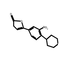 O=C1CC=C(c2ccc(C3CCCCC3)c([N+](=O)[O-])c2)O1